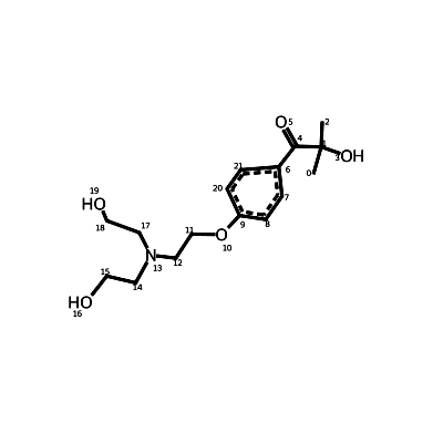 CC(C)(O)C(=O)c1ccc(OCCN(CCO)CCO)cc1